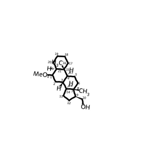 COC1C[C@@H]2[C@H](CC[C@]3(C)[C@@H](CO)CC[C@@H]23)[C@@]2(C)CCCC[C@H]12